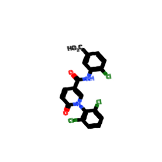 O=C(O)c1ccc(Cl)c(NC(=O)c2ccc(=O)n(-c3c(Cl)cccc3Cl)c2)c1